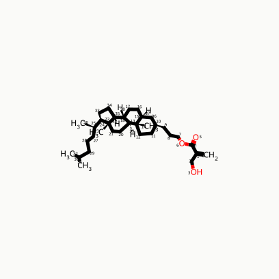 C=C(CO)C(=O)OCCC[C@H]1CC[C@@]2(C)[C@@H](CC[C@@H]3[C@@H]2CC[C@]2(C)[C@@H]([C@H](C)CCCC(C)C)CC[C@@H]32)C1